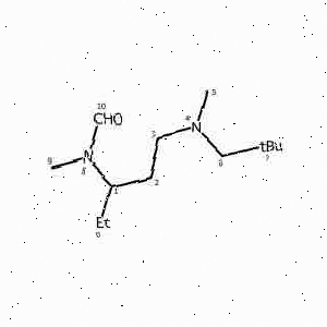 CCC(CCN(C)CC(C)(C)C)N(C)C=O